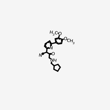 COc1ccc(-c2cccc(C(C#N)C(=O)CNCC3CCCC3)n2)cc1OC